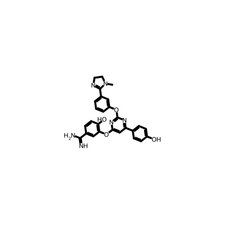 CN1CCN=C1c1cccc(Oc2nc(Oc3cc(C(=N)N)ccc3O)cc(-c3ccc(O)cc3)n2)c1